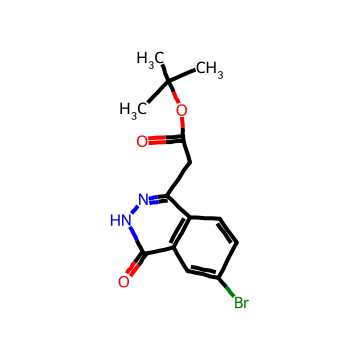 CC(C)(C)OC(=O)Cc1n[nH]c(=O)c2cc(Br)ccc12